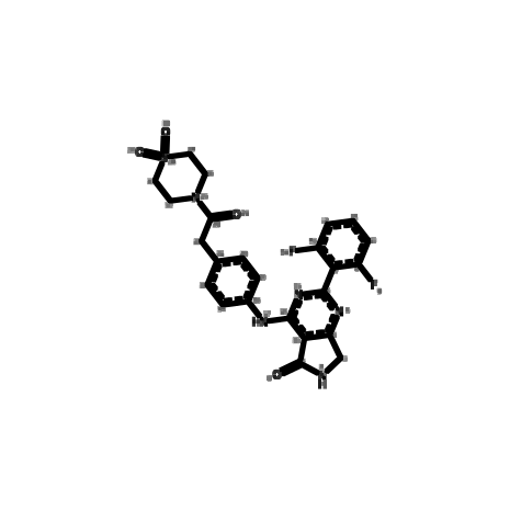 O=C1NCc2nc(-c3c(F)cccc3F)nc(Nc3ccc(CC(=O)N4CCS(=O)(=O)CC4)cc3)c21